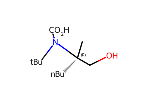 CCCC[C@](C)(CO)N(C(=O)O)C(C)(C)C